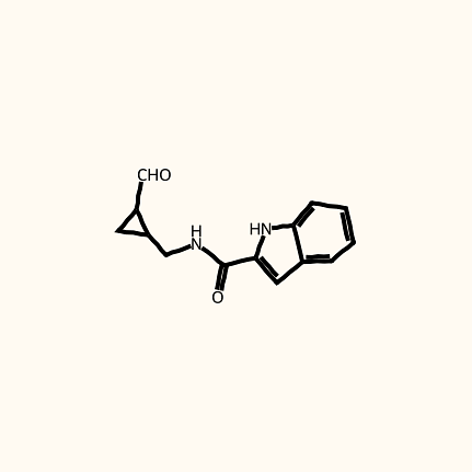 O=CC1CC1CNC(=O)c1cc2ccccc2[nH]1